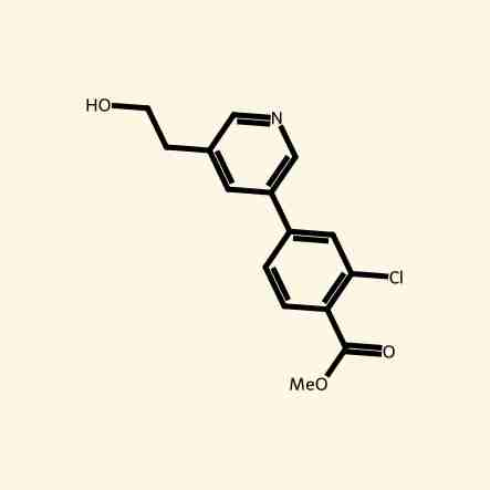 COC(=O)c1ccc(-c2cncc(CCO)c2)cc1Cl